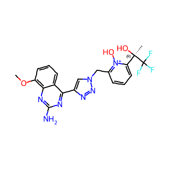 COc1cccc2c(-c3cn(Cc4cccc([C@@](C)(O)C(F)(F)F)[n+]4O)nn3)nc(N)nc12